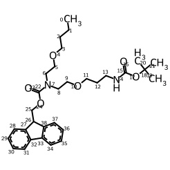 CCCCOCCN(CCOCCCNC(=O)OC(C)(C)C)C(=O)OCC1c2ccccc2-c2ccccc21